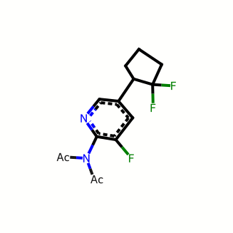 CC(=O)N(C(C)=O)c1ncc(C2CCCC2(F)F)cc1F